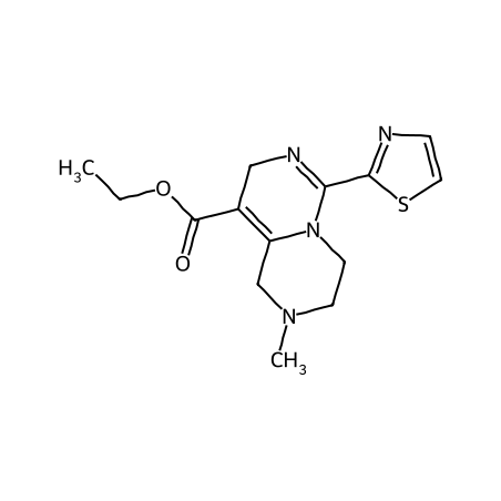 CCOC(=O)C1=C2CN(C)CCN2C(c2nccs2)=NC1